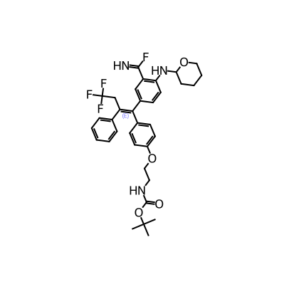 CC(C)(C)OC(=O)NCCOc1ccc(/C(=C(/CC(F)(F)F)c2ccccc2)c2ccc(NC3CCCCO3)c(C(=N)F)c2)cc1